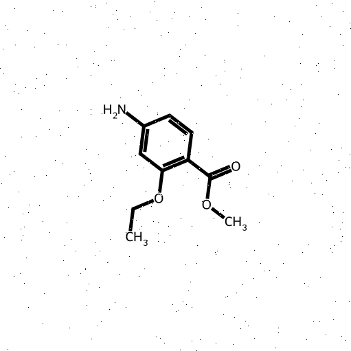 CCOc1cc(N)ccc1C(=O)OC